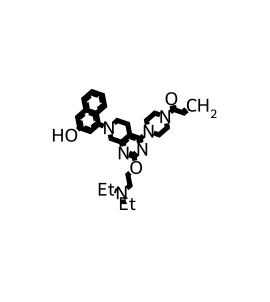 C=CC(=O)N1CCN(c2nc(OCCN(CC)CC)nc3c2CCN(c2cc(O)cc4ccccc24)C3)CC1